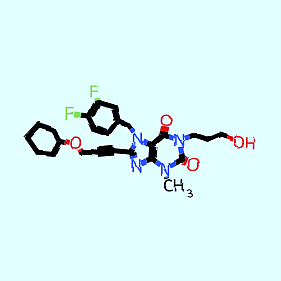 Cn1c(=O)n(CCCO)c(=O)c2c1nc(C#CCOC1CCCCC1)n2Cc1ccc(F)c(F)c1